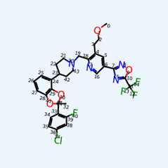 COCCc1cc(-c2noc(C(F)(F)F)n2)cnc1CN1CCC(c2cccc3c2O[C@](C)(c2ccc(Cl)cc2F)O3)CC1